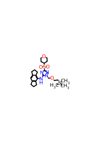 C[Si](C)(C)CCOCn1nc(S(=O)(=O)C2CCOCC2)nc1Nc1c2c(cc3c1CCC3)CCC2